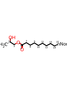 [CH2][C@H](O)COC(=O)CCCCCCCCCCCCCCCCC